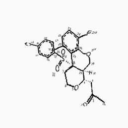 CC(=O)C[C@@H]1OCC[C@@]2(S(=O)(=O)c3ccc(Cl)cc3)c3c(F)ccc(F)c3OC[C@@H]12